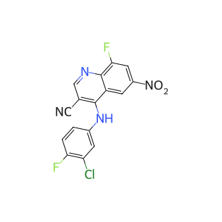 N#Cc1cnc2c(F)cc([N+](=O)[O-])cc2c1Nc1ccc(F)c(Cl)c1